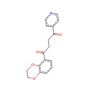 O=C(CCC(=O)c1cccc2c1OCCO2)c1ccncc1